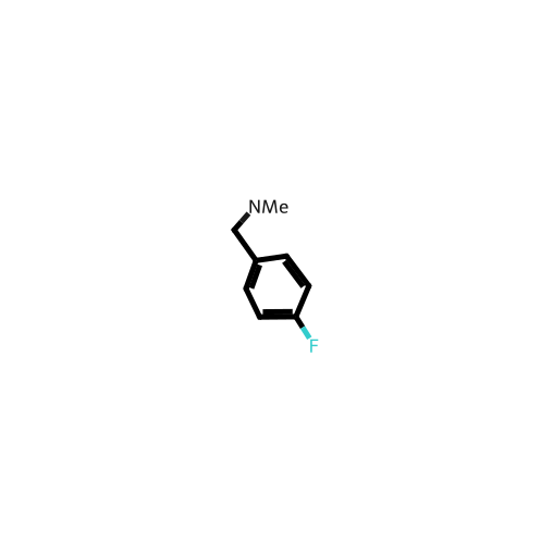 [CH]NCc1ccc(F)cc1